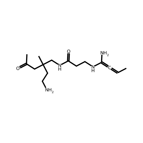 CC=C=C(N)NCCC(=O)NCC(C)(CCN)CC(C)=O